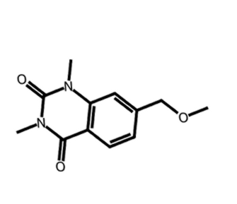 COCc1ccc2c(=O)n(C)c(=O)n(C)c2c1